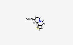 CNC1CCN2CCc3ccsc3C2C1